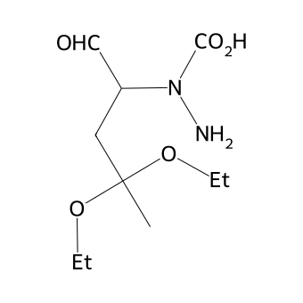 CCOC(C)(CC(C=O)N(N)C(=O)O)OCC